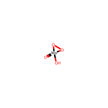 [O]=[Mo]1([OH])[O][O]1